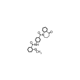 COc1ccccc1C(=O)Nc1ccc(C(=O)N2CCCC(=O)c3ccccc32)cc1